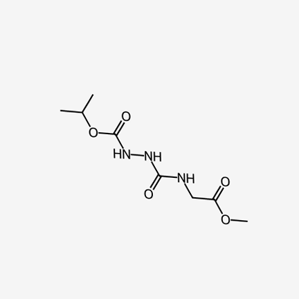 COC(=O)CNC(=O)NNC(=O)OC(C)C